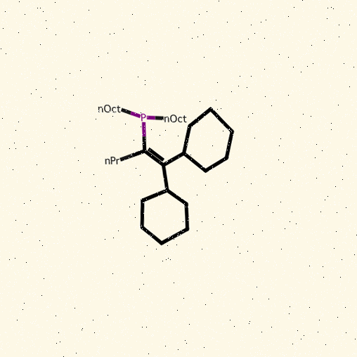 CCCCCCCCP(CCCCCCCC)C(CCC)=C(C1CCCCC1)C1CCCCC1